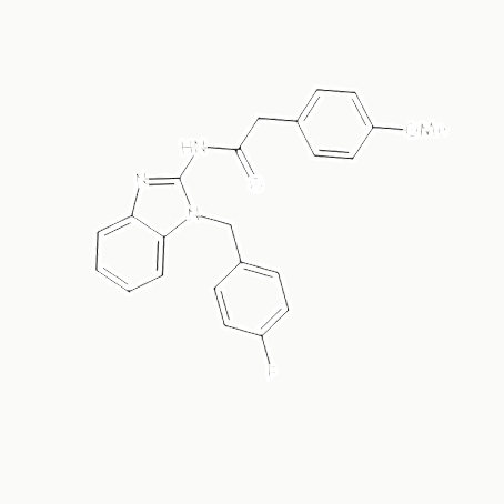 COc1ccc(CC(=O)Nc2nc3ccccc3n2Cc2ccc(F)cc2)cc1